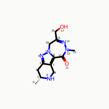 C[C@@H]1Cc2nn3c(c2CN1)C(=O)N(C)N=C(CO)C3